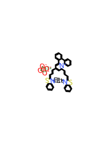 CCN1/C(=C\C=C\c2cc(/C=C/C=C3/Sc4ccccc4N3CC)[n+]3c4ccccc4c4ccccc4c3c2)Sc2ccccc21.[O-][Cl+3]([O-])([O-])[O-]